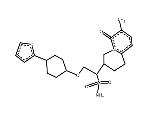 Cc1ccc2n(c1=O)CC(C(COC1CCC(c3ccco3)CC1)S(N)(=O)=O)CC2